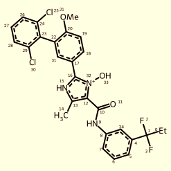 CCC(F)(F)c1cccc(NC(=O)c2c(C)[nH]c(-c3ccc(OC)c(-c4c(Cl)cccc4Cl)c3)[n+]2O)c1